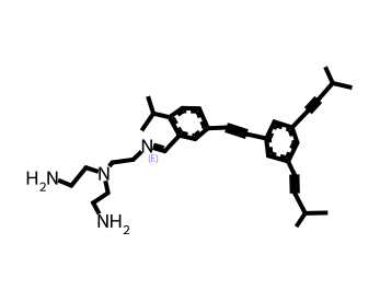 CC(C)C#Cc1cc(C#Cc2ccc(C(C)C)c(/C=N/CCN(CCN)CCN)c2)cc(C#CC(C)C)c1